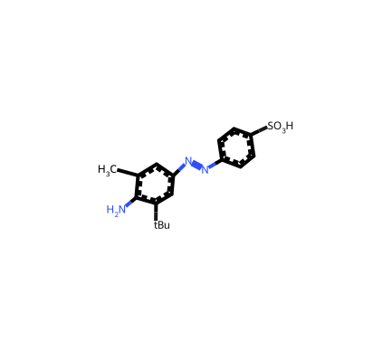 Cc1cc(N=Nc2ccc(S(=O)(=O)O)cc2)cc(C(C)(C)C)c1N